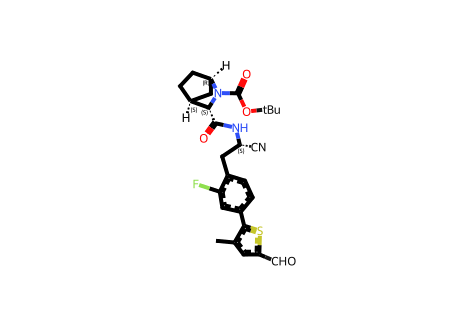 Cc1cc(C=O)sc1-c1ccc(C[C@@H](C#N)NC(=O)[C@@H]2[C@H]3CC[C@H](C3)N2C(=O)OC(C)(C)C)c(F)c1